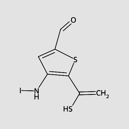 C=C(S)c1sc(C=O)cc1NI